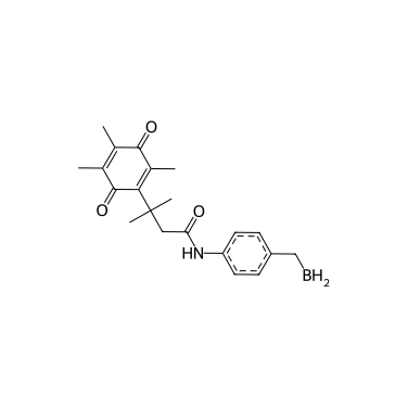 BCc1ccc(NC(=O)CC(C)(C)C2=C(C)C(=O)C(C)=C(C)C2=O)cc1